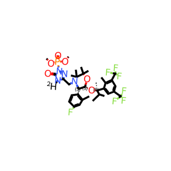 [2H]n1c(CN2[C@@H](c3ccc(F)cc3C)[C@@H](O[C@@](C)(c3cc(C(F)(F)F)cc(C(F)(F)F)c3C)C(C)C)OC(C)(C)C2(C)C)nn(P(=O)(OC)OC)c1=O